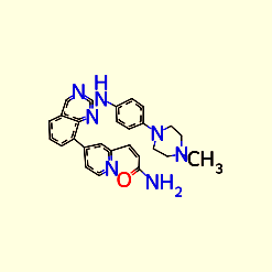 CN1CCN(c2ccc(Nc3ncc4cccc(-c5ccnc(C=CC(N)=O)c5)c4n3)cc2)CC1